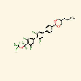 CCCC1COC(c2ccc(-c3cc(F)c(-c4cc(F)c(C(F)(F)OC(F)(F)F)c(F)c4)c(F)c3)cc2)OC1